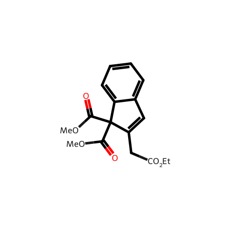 CCOC(=O)CC1=Cc2ccccc2C1(C(=O)OC)C(=O)OC